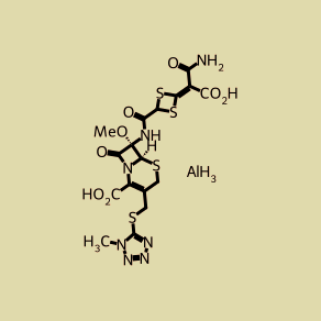 CO[C@@]1(NC(=O)C2SC(=C(C(N)=O)C(=O)O)S2)C(=O)N2C(C(=O)O)=C(CSc3nnnn3C)CS[C@@H]21.[AlH3]